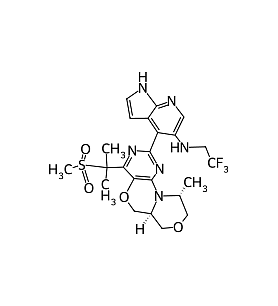 C[C@@H]1COC[C@H]2COc3c(nc(-c4c(NCC(F)(F)F)cnc5[nH]ccc45)nc3C(C)(C)S(C)(=O)=O)N21